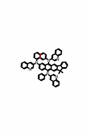 CC1(C)c2ccccc2-c2cc3c(N(c4ccccc4)c4cnc5ccccc5c4)c4cc(N(c5ccccc5)c5cnc6ccccc6c5)ccc4c(N(c4ccccc4)c4cnc5ccccc5c4)c3cc21